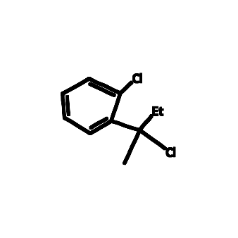 CCC(C)(Cl)c1ccccc1Cl